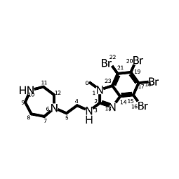 Cn1c(NCCN2CCCNCC2)nc2c(Br)c(Br)c(Br)c(Br)c21